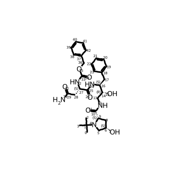 CC(C)(C)N1C[C@@H](O)C[C@H]1C(=O)NC[C@@H](O)[C@H](Cc1ccccc1)NC(=O)[C@H](CC(N)=O)NC(=O)OCc1ccccc1